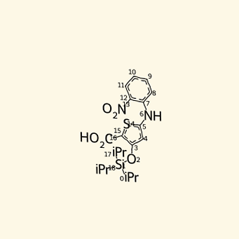 CC(C)[Si](Oc1cc(Nc2ccccc2[N+](=O)[O-])sc1C(=O)O)(C(C)C)C(C)C